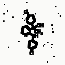 CC(O)(c1cccnc1Nc1ccc(Cl)cc1)C1C=CC(Cl)=CC1